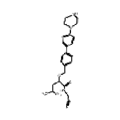 CC(C)CC(OCc1ccc(-c2ccc(N3CCNCC3)cc2)cc1)C(=O)NCC#N